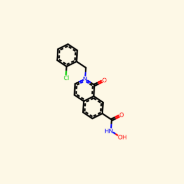 O=C(NO)c1ccc2ccn(Cc3ccccc3Cl)c(=O)c2c1